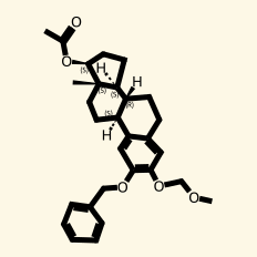 COCOc1cc2c(cc1OCc1ccccc1)[C@H]1CC[C@]3(C)[C@@H](OC(C)=O)CC[C@H]3[C@@H]1CC2